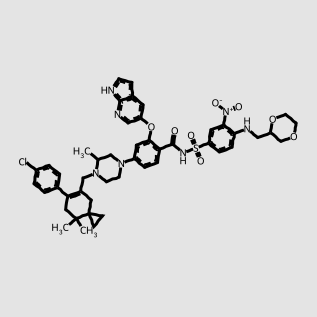 CC1CN(c2ccc(C(=O)NS(=O)(=O)c3ccc(NCC4COCCO4)c([N+](=O)[O-])c3)c(Oc3cnc4[nH]ccc4c3)c2)CCN1CC1=C(c2ccc(Cl)cc2)CC(C)(C)C2(CC2)C1